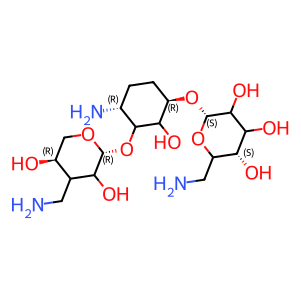 NCC1O[C@H](O[C@@H]2CC[C@@H](N)C(O[C@H]3OC[C@H](O)C(CN)C3O)C2O)C(O)C(O)[C@@H]1O